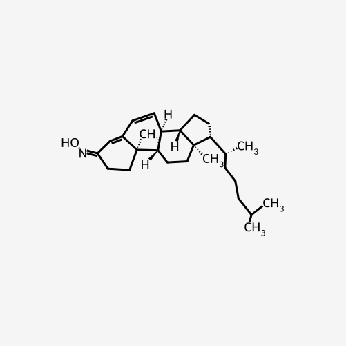 CC(C)CCC[C@@H](C)[C@H]1CC[C@H]2[C@@H]3C=CC4=C/C(=N\O)CC[C@]4(C)[C@H]3CC[C@]12C